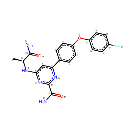 C[C@H](Nc1cc(-c2ccc(Oc3ccc(F)cc3)cc2)nc(C(N)=O)n1)C(N)=O